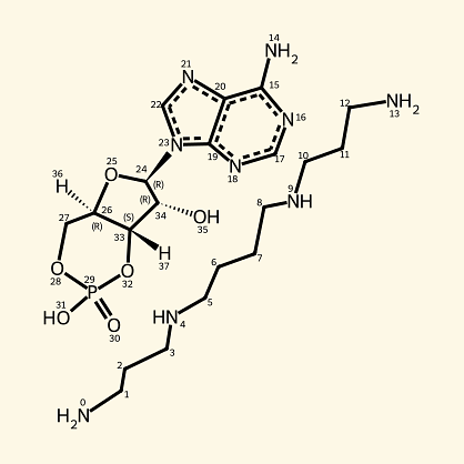 NCCCNCCCCNCCCN.Nc1ncnc2c1ncn2[C@@H]1O[C@@H]2COP(=O)(O)O[C@H]2[C@H]1O